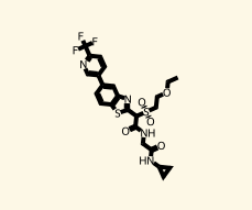 CCOCCS(=O)(=O)C(C(=O)NCC(=O)NC1CC1)c1nc2cc(-c3ccc(C(F)(F)F)nc3)ccc2s1